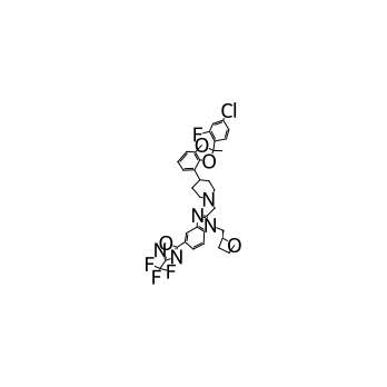 CC1(c2ccc(Cl)cc2F)Oc2cccc(C3CCN(Cc4nc5cc(-c6nc(C(F)(F)F)no6)ccc5n4C[C@@H]4CCO4)CC3)c2O1